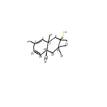 CC1=CC2(C)CC(C)(F)C(C)(C)C[C@@H]2C=C1